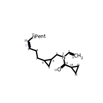 C=CN(CC1CC1CC/C=C\CCCCC)C(=O)C1CC1